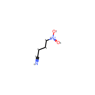 N#CCCC[N+](=O)[O-]